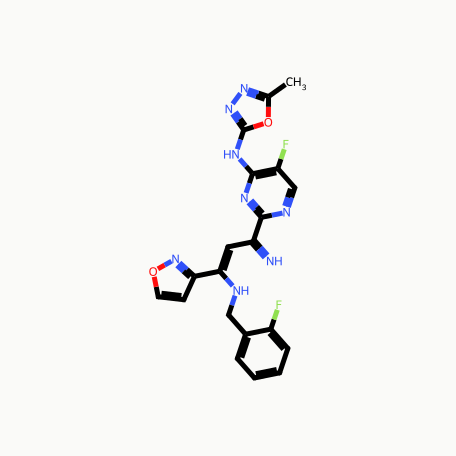 Cc1nnc(Nc2nc(C(=N)/C=C(\NCc3ccccc3F)c3ccon3)ncc2F)o1